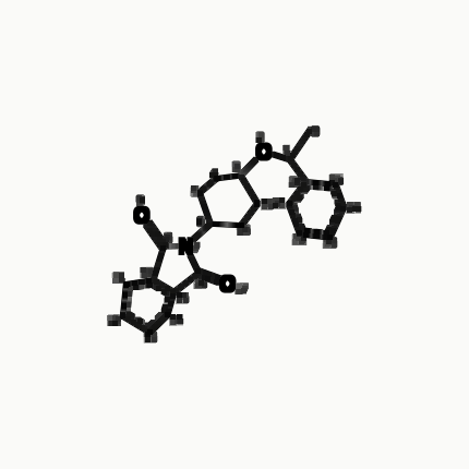 CC(OC1CCC(N2C(=O)c3ccccc3C2=O)CC1)c1ccccc1